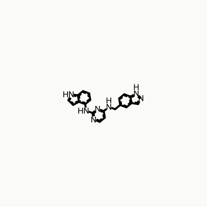 c1cc(Nc2nccc(NCc3ccc4[nH]ncc4c3)n2)c2cc[nH]c2c1